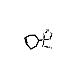 [3H]O[Si](O[3H])(O[3H])C1CCC=CCC1